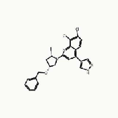 C[C@@H]1C[C@@H](OCc2ccccc2)CN1c1cc(-c2cn[nH]c2)c2ccc(Cl)c(Cl)c2n1